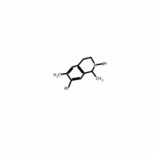 Cc1cc2c(cc1C(C)C)C(C)N(C(C)C)CC2